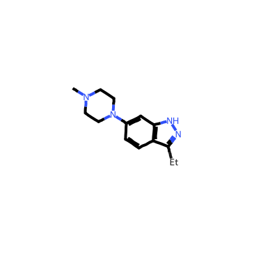 CCc1n[nH]c2cc(N3CCN(C)CC3)ccc12